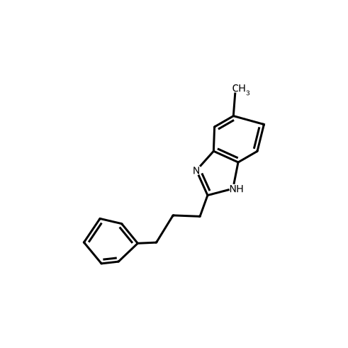 Cc1ccc2[nH]c(CCCc3ccccc3)nc2c1